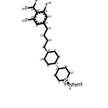 CCCCC[SiH]1CCC([C@H]2CC[C@H](CCCCc3cc(F)c(C(F)F)c(F)c3)CC2)CC1